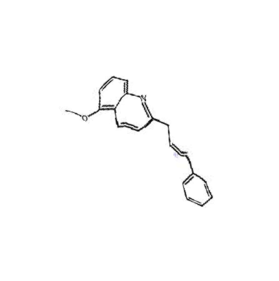 COc1cccc2nc(C/C=C/c3ccccc3)ccc12